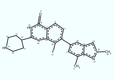 Cc1cc(-c2ccc3c(=O)[nH]c(C4CCNCC4)nc3c2F)cc2cn(C)nc12